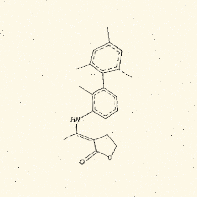 CC(Nc1cccc(-c2c(C)cc(C)cc2C)c1C)=C1CCOC1=O